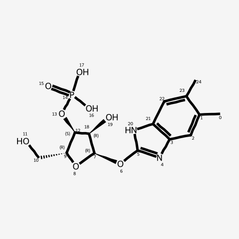 Cc1cc2nc(O[C@H]3O[C@H](CO)[C@@H](OP(=O)(O)O)[C@H]3O)[nH]c2cc1C